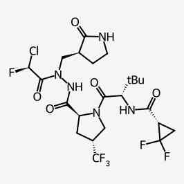 CC(C)(C)[C@H](NC(=O)[C@@H]1CC1(F)F)C(=O)N1C[C@H](C(F)(F)F)C[C@H]1C(=O)NN(C[C@@H]1CCNC1=O)C(=O)[C@@H](F)Cl